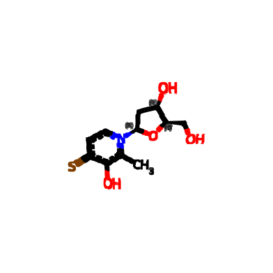 Cc1c(O)c(=S)ccn1[C@H]1C[C@@H](O)[C@@H](CO)O1